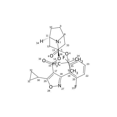 CC(C)(C)OC(=O)N1C2CC[C@@H]1C[C@H](OC(=O)c1c(-c3c(F)cccc3F)noc1C1CC1)C2